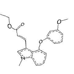 CCOC(=O)/C=C/c1cn(C)c2cccc(Oc3cccc(OC)c3)c12